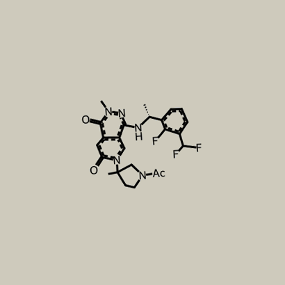 CC(=O)N1CCC(C)(n2cc3c(N[C@H](C)c4cccc(C(F)F)c4F)nn(C)c(=O)c3cc2=O)C1